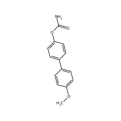 COc1ccc(-c2ccc(OC(N)=O)cc2)cc1